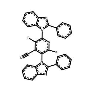 N#Cc1c(F)c(-n2c(-c3ccccc3)nc3ccccc32)nc(F)c1-n1c(-c2ccccc2)nc2ccccc21